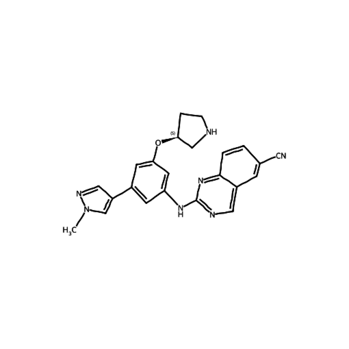 Cn1cc(-c2cc(Nc3ncc4cc(C#N)ccc4n3)cc(O[C@H]3CCNC3)c2)cn1